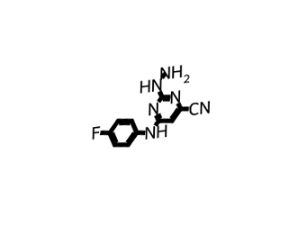 N#Cc1cc(Nc2ccc(F)cc2)nc(NN)n1